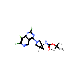 CC(C)(C)OC(=O)N[C@]12C[C@H]1CN(c1nc(Cl)nc3c(F)c(Cl)ncc13)C2